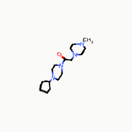 CN1CCN(CC(=O)N2CCN(C3CCCC3)CC2)CC1